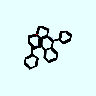 C(=C(\c1ccccc1)c1ccccc1/C(=C\c1ccccc1)c1ccccc1)/c1ccccc1